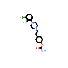 NC(=O)OC1CCC(CCN2CCN(c3cccc(Cl)c3Cl)CC2)CC1